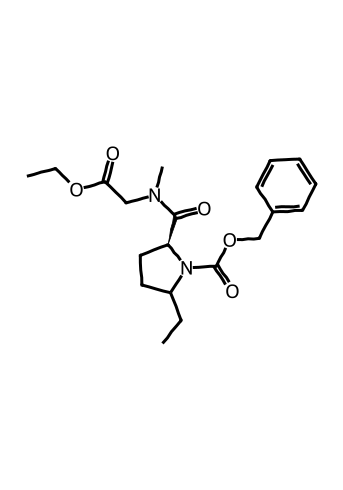 CCOC(=O)CN(C)C(=O)[C@@H]1CCC(CC)N1C(=O)OCc1ccccc1